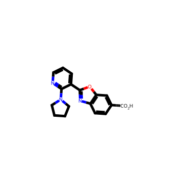 O=C(O)c1ccc2nc(-c3cccnc3N3CCCC3)oc2c1